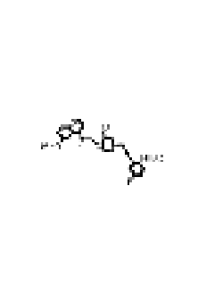 COc1ccc2nccc([C@@H](F)CC[C@@H]3CCN(CC#Cc4cc(F)ccc4NC(C)=O)C[C@@H]3CO)c2c1